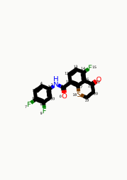 O=C(Nc1ccc(F)c(F)c1)c1ccc(F)c2c1SCCC2=O